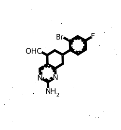 Nc1ncc2c(n1)CC(c1ccc(F)cc1Br)CC2C=O